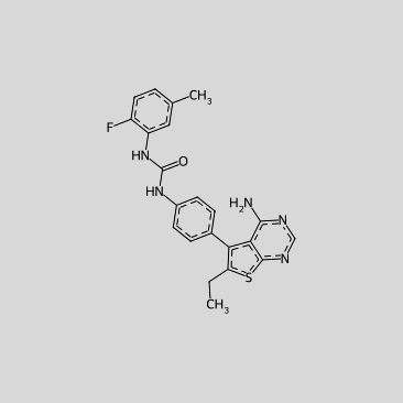 CCc1sc2ncnc(N)c2c1-c1ccc(NC(=O)Nc2cc(C)ccc2F)cc1